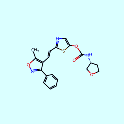 Cc1onc(-c2ccccc2)c1/C=C/c1ncc(OC(=O)N[C@@H]2CCOC2)s1